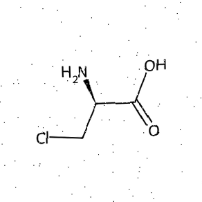 N[C@H](CCl)C(=O)O